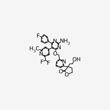 Cc1cc(-c2c(OCc3cccc(C4(CCO)CCOC4=O)n3)nc(N)nc2-c2ccc(F)cc2)cc(C(F)F)n1